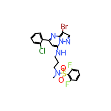 CN(CCCNc1cc(-c2ccccc2Cl)nc2c(Br)cnn12)S(=O)(=O)c1c(F)cccc1F